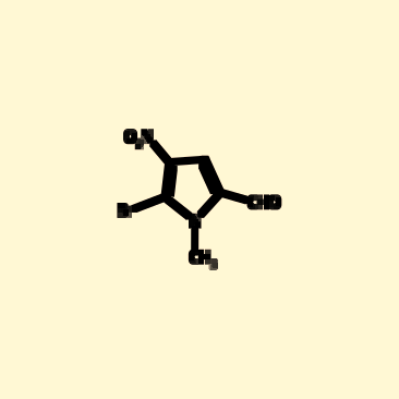 Cn1c(C=O)cc([N+](=O)[O-])c1Br